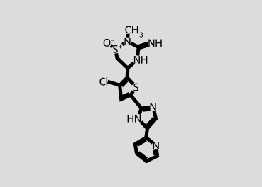 CN1C(=N)NC(c2sc(-c3ncc(-c4ccccn4)[nH]3)cc2Cl)C[S+]1[O-]